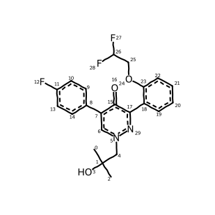 CC(C)(O)Cn1cc(-c2ccc(F)cc2)c(=O)c(-c2ccccc2OCC(F)F)n1